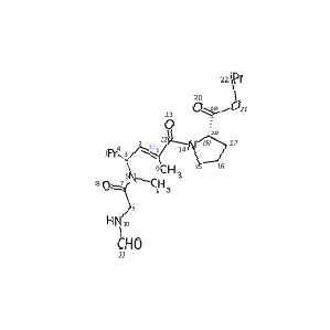 C/C(=C\C(C(C)C)N(C)C(=O)CNC=O)C(=O)N1CCC[C@H]1C(=O)OC(C)C